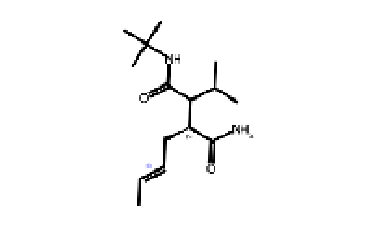 C/C=C/C[C@H](C(N)=O)C(C(=O)NC(C)(C)C)C(C)C